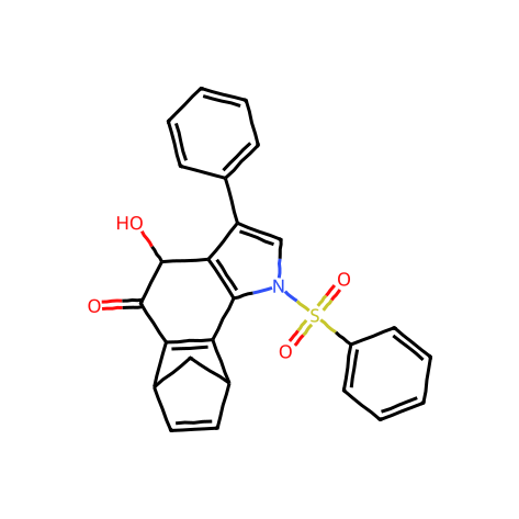 O=C1C2=C(c3c(c(-c4ccccc4)cn3S(=O)(=O)c3ccccc3)C1O)C1C=CC2C1